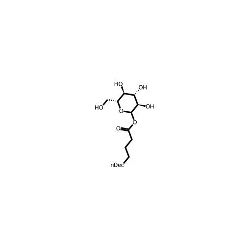 CCCCCCCCCCCCCC(=O)OC1O[C@H](CO)[C@@H](O)[C@H](O)[C@H]1O